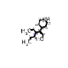 C=C/C=C(\C=C)C(=CO)C1CCNCC1